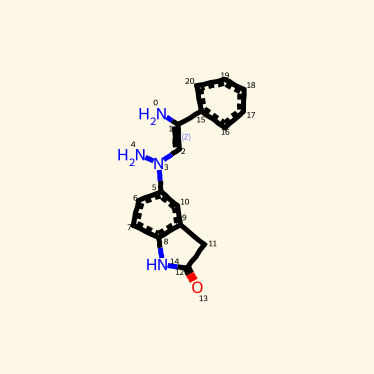 N/C(=C\N(N)c1ccc2c(c1)CC(=O)N2)c1ccccc1